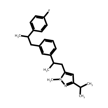 CC(C)c1cc(CC(C)c2cccc(CC(C)c3ccc(F)cc3)c2)n(C)n1